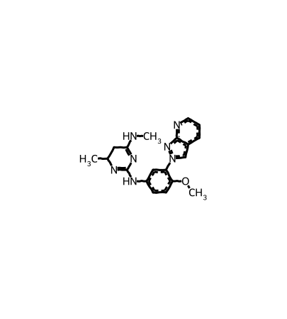 CNC1=NC(Nc2ccc(OC)c(-n3cc4cccnc4n3)c2)=NC(C)C1